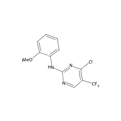 COc1ccccc1Nc1ncc(C(F)(F)F)c(Cl)n1